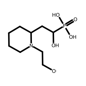 [O]CCN1CCCCC1CC(O)P(=O)(O)O